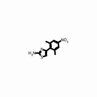 Cc1cc([N+](=O)[O-])cc(C)c1-c1csc(N)n1